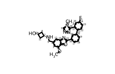 COc1cc(CN[C@H]2C[C@@H](O)C2)cc2nc(-c3cccc(-c4ccc(F)cc4-c4nncn4C)c3)oc12